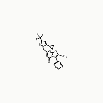 Cc1sc2nc(Cn3nc(C(F)(F)F)cc3C3CC3)cc(=O)n2c1-c1cncnc1